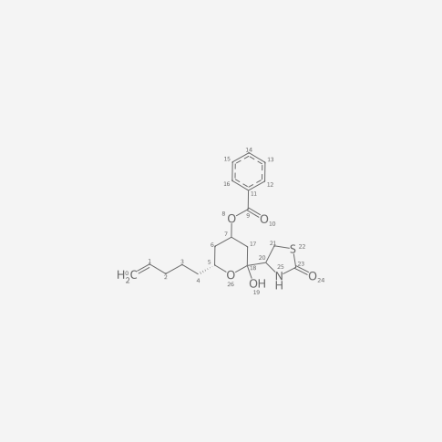 C=CCCC[C@@H]1CC(OC(=O)c2ccccc2)CC(O)(C2CSC(=O)N2)O1